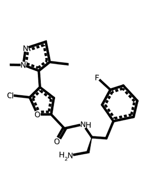 Cc1cnn(C)c1-c1cc(C(=O)N[C@H](CN)Cc2cccc(F)c2)oc1Cl